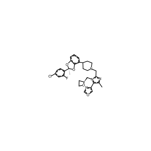 Cc1nc(CN2CCC(c3cccc4c3O[C@@](C)(c3ccc(Cl)cc3F)O4)CC2)n(C[C@@H]2CCO2)c1-c1cocn1